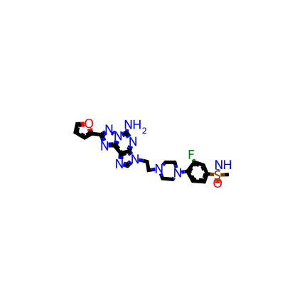 CS(=N)(=O)c1ccc(N2CCN(CCn3cnc4c3nc(N)n3nc(-c5ccco5)nc43)CC2)c(F)c1